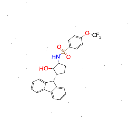 O=S(=O)(N[C@@H]1CC[C@H](C2c3ccccc3-c3ccccc32)[C@H]1O)c1ccc(OC(F)(F)F)cc1